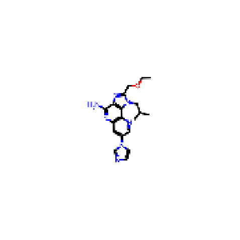 CCOCc1nc2c(N)nc3cc(-n4ccnc4)cnc3c2n1CC(C)C